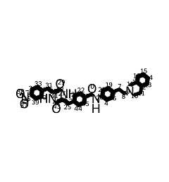 O=C(Nc1ccc(CCN2CCc3ccccc3C2)cc1)c1ccc(C=c2[nH]c(=O)c(=Cc3ccc([N+](=O)[O-])cc3)[nH]c2=O)cc1